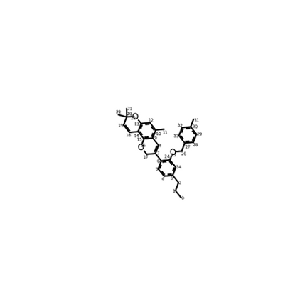 CCCc1ccc(C2=Cc3c(C)cc4c(c3OC2)C=CC(C)(C)O4)c(OCc2ccc(C)cc2)c1